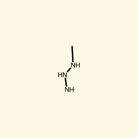 CNN[NH]